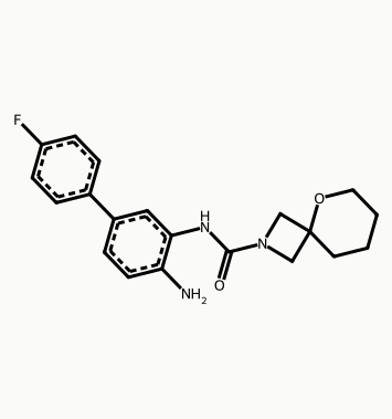 Nc1ccc(-c2ccc(F)cc2)cc1NC(=O)N1CC2(CCCCO2)C1